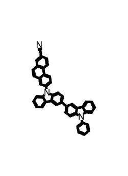 N#Cc1ccc2c(ccc3cc(-n4c5ccccc5c5cc(-c6ccc7c(c6)c6ccccc6n7-c6ccccc6)ccc54)ccc32)c1